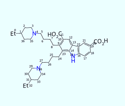 CCC1CCN(CCCCc2c(C(=O)O)cc3c([nH]c4ccc(C(=O)O)cc43)c2CCCCN2CCC(CC)CC2)CC1